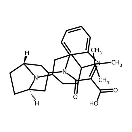 CC(C)(C)C1CCC(N2[C@@H]3CC[C@@H]2CC(n2c(=O)c(C(=O)O)nc4ccccc42)C3)CC1